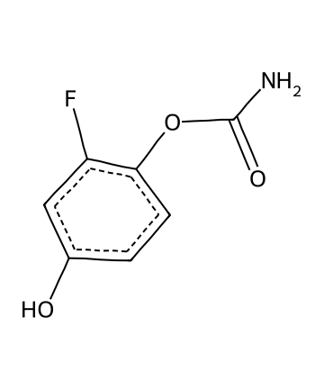 NC(=O)Oc1ccc(O)cc1F